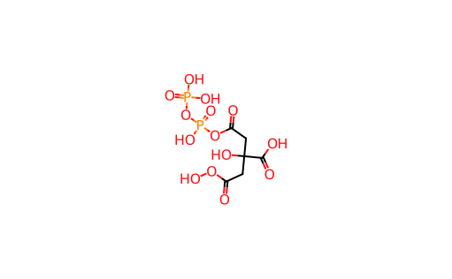 O=C(CC(O)(CC(=O)OP(=O)(O)OP(=O)(O)O)C(=O)O)OO